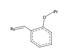 CC(C)Oc1ccccc1[CH]=[Ru]